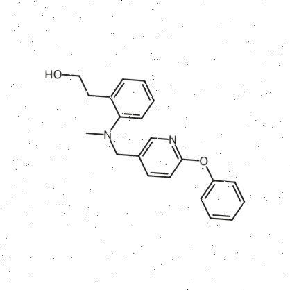 CN(Cc1ccc(Oc2ccccc2)nc1)c1ccccc1CCO